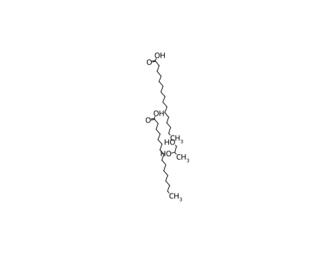 CC(O)CO.CCCCCCCCCCCCCCCC(=O)O.CCCCCCCCCCCCCCCC(=O)O